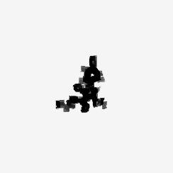 COC(=O)C1=C(C)CN(c2ccc(Cl)cc2)C1=O